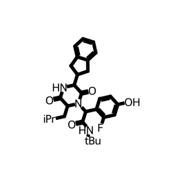 CC(C)CC1C(=O)NC(C2Cc3ccccc3C2)C(=O)N1C(C(=O)NC(C)(C)C)c1ccc(O)cc1F